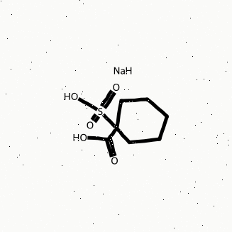 O=C(O)C1(S(=O)(=O)O)CCCCC1.[NaH]